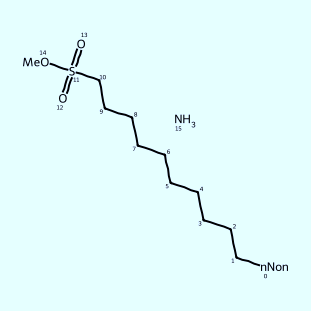 CCCCCCCCCCCCCCCCCCCS(=O)(=O)OC.N